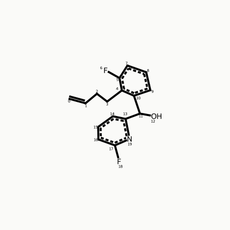 C=CCCc1c(F)cccc1C(O)c1cccc(F)n1